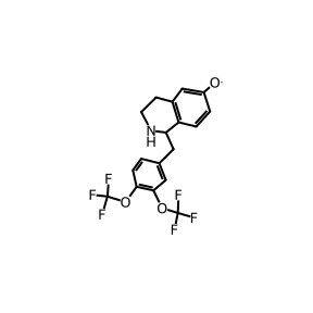 [O]c1ccc2c(c1)CCNC2Cc1ccc(OC(F)(F)F)c(OC(F)(F)F)c1